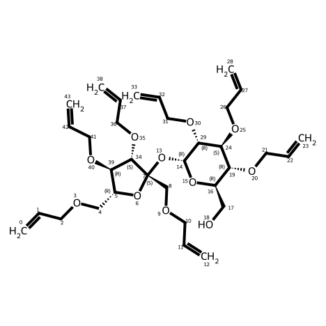 C=CCOC[C@H]1O[C@@](COCC=C)(O[C@H]2O[C@H](CO)[C@@H](OCC=C)[C@H](OCC=C)[C@H]2OCC=C)[C@@H](OCC=C)[C@@H]1OCC=C